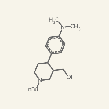 CCCCN1CCC(c2ccc(N(C)C)cc2)C(CO)C1